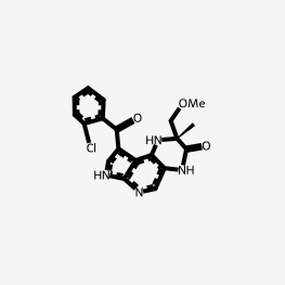 COC[C@@]1(C)Nc2c(cnc3[nH]cc(C(=O)c4ccccc4Cl)c23)NC1=O